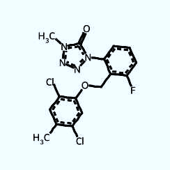 Cc1cc(Cl)c(OCc2c(F)cccc2-n2nnn(C)c2=O)cc1Cl